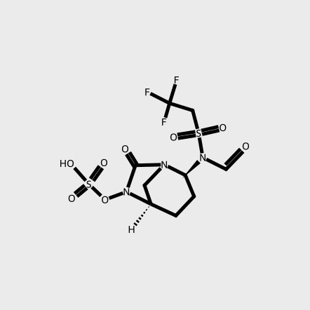 O=CN([C@H]1CC[C@@H]2CN1C(=O)N2OS(=O)(=O)O)S(=O)(=O)CC(F)(F)F